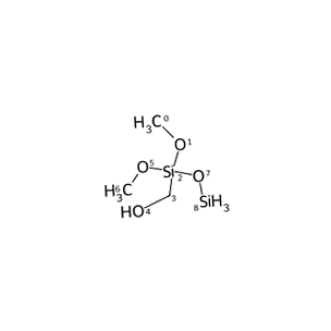 CO[Si](CO)(OC)O[SiH3]